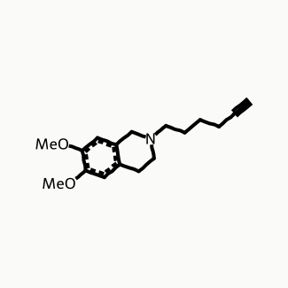 C#CCCCCN1CCc2cc(OC)c(OC)cc2C1